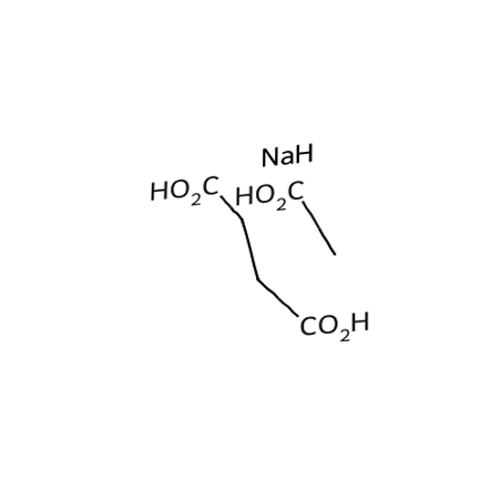 CC(=O)O.O=C(O)CCC(=O)O.[NaH]